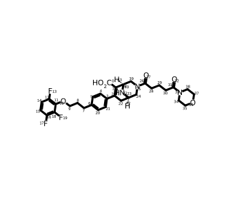 O=C(O)C1=C(c2ccc(CCCOc3c(F)ccc(F)c3F)cc2)C[C@@H]2CN(C(=O)CCCC(=O)N3CCOCC3)C[C@H]1N2